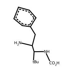 CC(C)(C)C(NC(=O)O)C(N)Cc1ccccc1